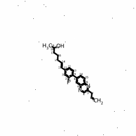 C=CCc1cnc2cc(-c3ccc(C=CCCCC(C)O)cc3F)ccc2n1